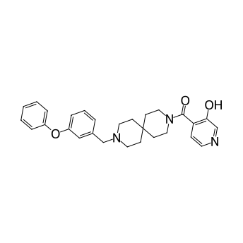 O=C(c1ccncc1O)N1CCC2(CCN(Cc3cccc(Oc4ccccc4)c3)CC2)CC1